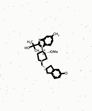 CO[C@@H]1CN(C[C@H]2Cc3ccc(Cl)cc3C2)CC[C@H]1n1c(C(C)(C)O)nc2cc(C)ccc21